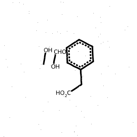 CO.O=C(O)Cc1ccccc1.O=CO